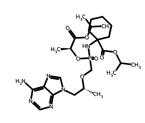 CC(C)OC(=O)[C@H](C)OP(=O)(CO[C@H](C)Cn1cnc2c(N)ncnc21)NC1(C(=O)OC(C)C)CCCCC1